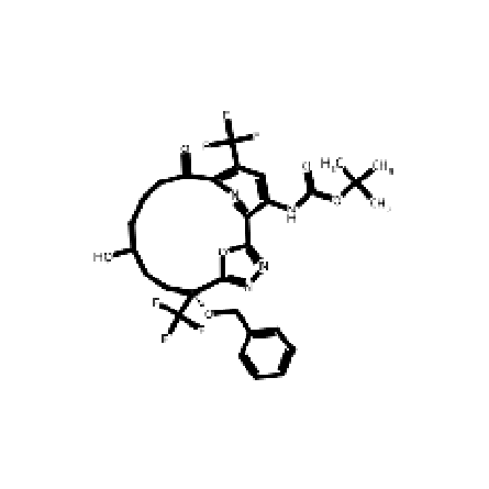 CC(C)(C)OC(=O)Nc1cc(C(F)(F)F)c2nc1-c1nnc(o1)[C@@](OCc1ccccc1)(C(F)(F)F)CCC(O)CCCC2=O